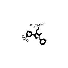 CCCN(CCc1c(-c2cccc(S(C)(=O)=O)c2)cn(-c2ccccc2)c1C)C(=O)O